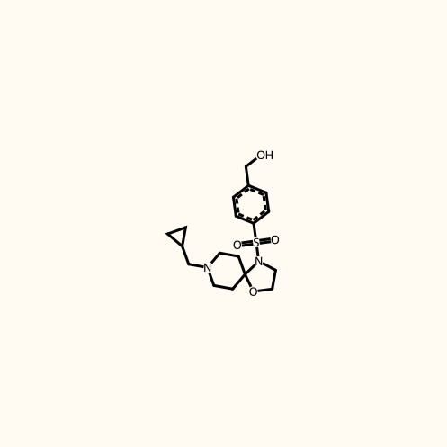 O=S(=O)(c1ccc(CO)cc1)N1CCOC12CCN(CC1CC1)CC2